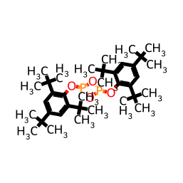 CC(C)(C)c1cc(C(C)(C)C)c(OP2OP(Oc3c(C(C)(C)C)cc(C(C)(C)C)cc3C(C)(C)C)O2)c(C(C)(C)C)c1